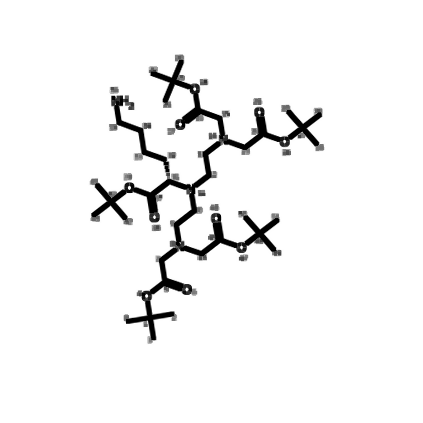 CC(C)(C)OC(=O)CN(CCN(CCN(CC(=O)OC(C)(C)C)CC(=O)OC(C)(C)C)[C@@H](CCCCN)C(=O)OC(C)(C)C)CC(=O)OC(C)(C)C